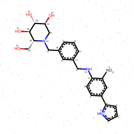 O=[N+]([O-])c1cc(-c2ccc[nH]2)ccc1NCc1cccc(CN2C[C@H](O)[C@@H](O)[C@H](O)[C@H]2CO)c1